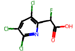 O=C(O)C(F)c1nc(Cl)c(Cl)cc1Cl